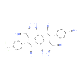 N#CC(C#N)=C1C(c2ccc(C#N)cc2)=C(C#N)c2c(C#N)c3c(c(C#N)c21)C(C#N)=C(c1ccc(C(F)(F)F)cc1)C3=C(C#N)C#N